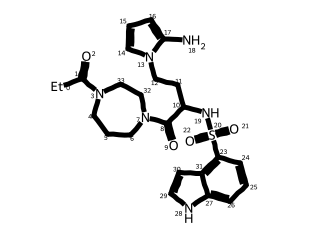 CCC(=O)N1CCCN(C(=O)C(CCn2cccc2N)NS(=O)(=O)c2cccc3[nH]ccc23)CC1